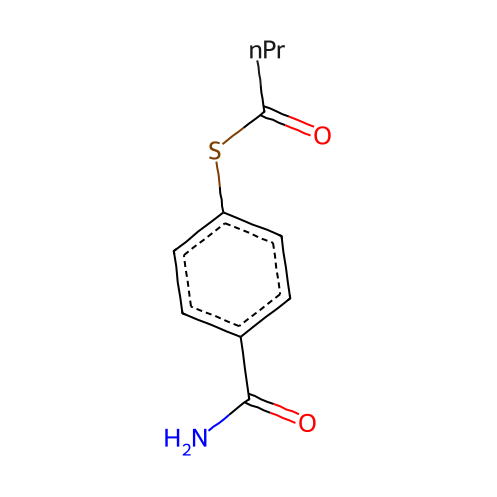 CCCC(=O)Sc1ccc(C(N)=O)cc1